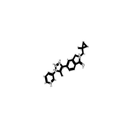 Cc1c(-c2ccc3c(c2)CN(CC2(C)CC2)C3=O)nnn1-c1cccnc1